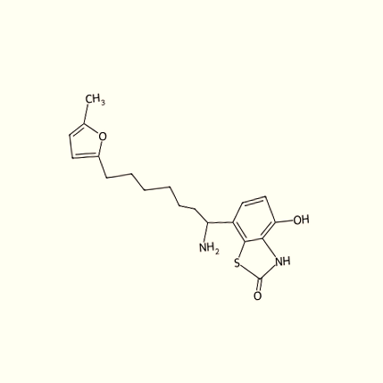 Cc1ccc(CCCCCCC(N)c2ccc(O)c3[nH]c(=O)sc23)o1